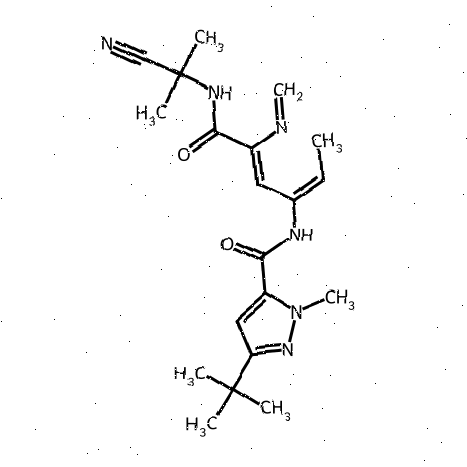 C=N/C(=C\C(=C/C)NC(=O)c1cc(C(C)(C)C)nn1C)C(=O)NC(C)(C)C#N